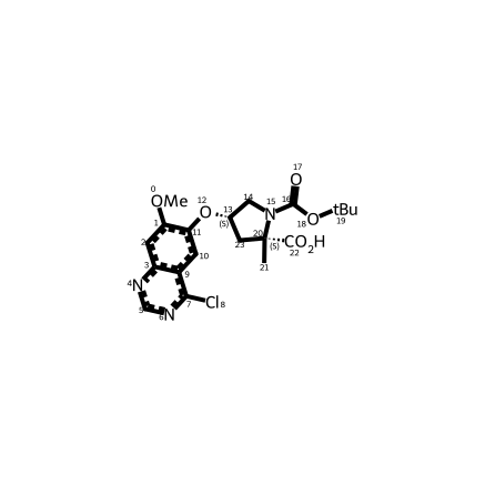 COc1cc2ncnc(Cl)c2cc1O[C@@H]1CN(C(=O)OC(C)(C)C)[C@](C)(C(=O)O)C1